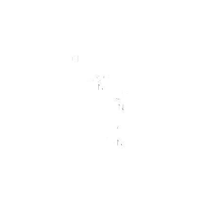 Cc1c(Cl)cccc1S(=O)(=O)N1CCC[C@H](C(=O)N2CC[C@@H](c3cccnc3)C2)C1